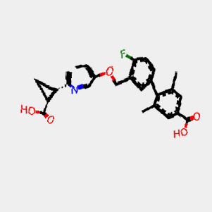 C=C(/N=C\C(=C/C)OCc1cc(-c2c(C)cc(C(=O)O)cc2C)ccc1F)[C@H]1C[C@@H]1C(=O)O